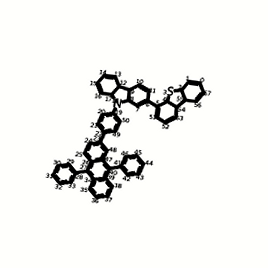 C1=CC2SC3C(C4=CC5C(C=C4)C4C=CC=CC4N5c4ccc(-c5ccc6c(-c7ccccc7)c7ccccc7c(-c7ccccc7)c6c5)cc4)=CC=CC3C2C=C1